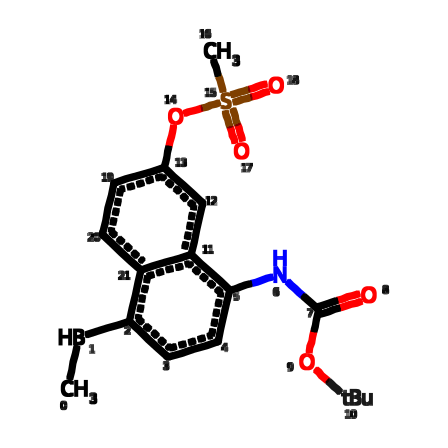 CBc1ccc(NC(=O)OC(C)(C)C)c2cc(OS(C)(=O)=O)ccc12